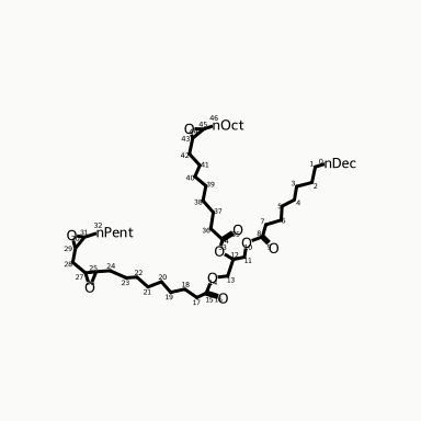 CCCCCCCCCCCCCCCCCC(=O)OCC(COC(=O)CCCCCCCCC1OC1CC1OC1CCCCC)OC(=O)CCCCCCCC1OC1CCCCCCCC